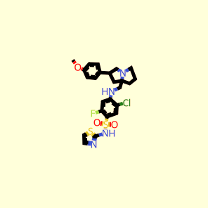 COc1ccc(C2CN3CCCC3(CNc3cc(F)c(S(=O)(=O)Nc4nccs4)cc3Cl)C2)cc1